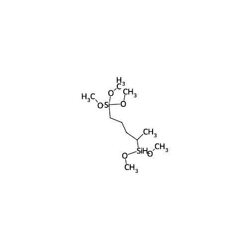 CO[SiH](OC)C(C)CCC[Si](OC)(OC)OC